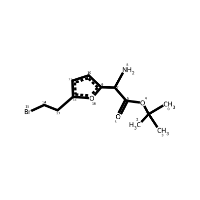 CC(C)(C)OC(=O)C(N)c1ccc(CCBr)o1